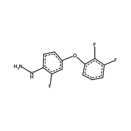 NNc1ccc(Oc2cccc(F)c2F)cc1F